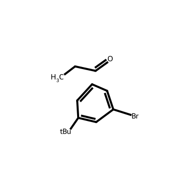 CC(C)(C)c1cccc(Br)c1.CCC=O